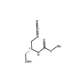 COC[C@H](CN=[N+]=[N-])NC(=O)OC(C)(C)C